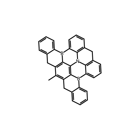 Cc1c2c3c4c5c1Cc1ccccc1B5c1cccc5c1N4c1c(cccc1B3c1ccccc1C2)C5